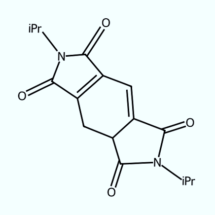 CC(C)N1C(=O)C2=C(CC3C(=O)N(C(C)C)C(=O)C3=C2)C1=O